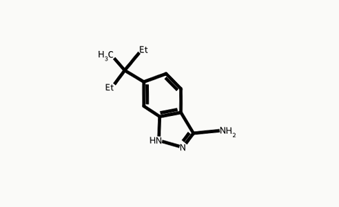 CCC(C)(CC)c1ccc2c(N)n[nH]c2c1